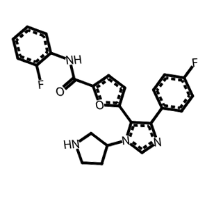 O=C(Nc1ccccc1F)c1ccc(-c2c(-c3ccc(F)cc3)ncn2C2CCNC2)o1